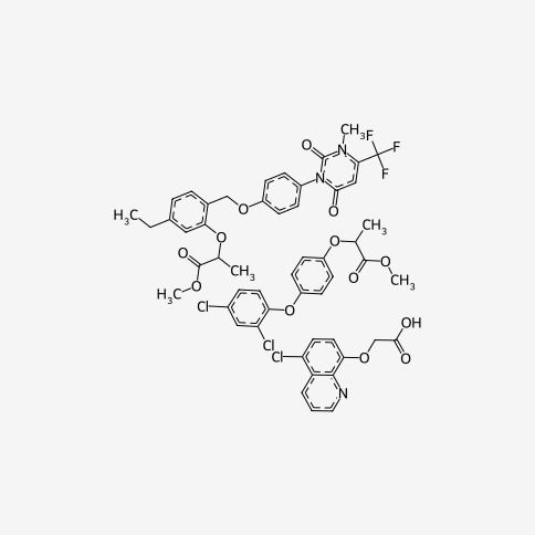 CCc1ccc(COc2ccc(-n3c(=O)cc(C(F)(F)F)n(C)c3=O)cc2)c(OC(C)C(=O)OC)c1.COC(=O)C(C)Oc1ccc(Oc2ccc(Cl)cc2Cl)cc1.O=C(O)COc1ccc(Cl)c2cccnc12